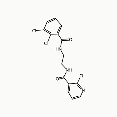 O=C(NCCNC(=O)c1cccc(Cl)c1Cl)c1cccnc1Cl